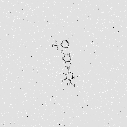 O=c1c(Cl)c(N2Cc3cnc(Oc4ccccc4C(F)(F)F)nc3C2)cnn1PI